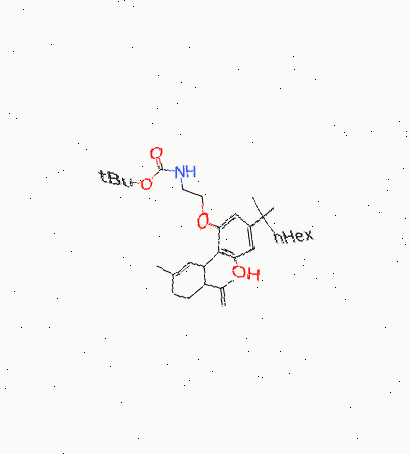 C=C(C)C1CCC(C)=CC1c1c(O)cc(C(C)(C)CCCCCC)cc1OCCNC(=O)OC(C)(C)C